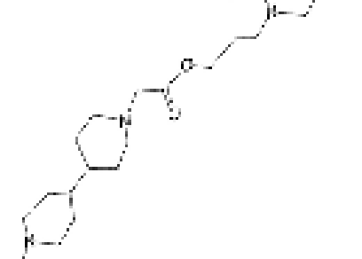 CN1CCC(C2CCN(CC(=O)OCCCN3CCCCC3=O)CC2)CC1